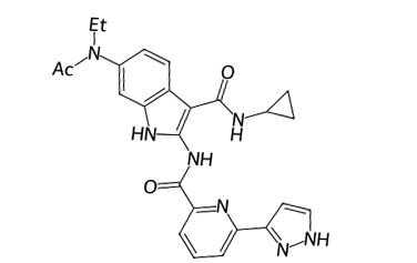 CCN(C(C)=O)c1ccc2c(C(=O)NC3CC3)c(NC(=O)c3cccc(-c4cc[nH]n4)n3)[nH]c2c1